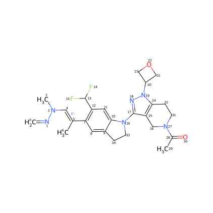 C=NN(C)/C=C(\C)c1cc2c(cc1C(F)F)N(c1nn(C3COC3)c3c1CN(C(C)=O)CC3)CC2